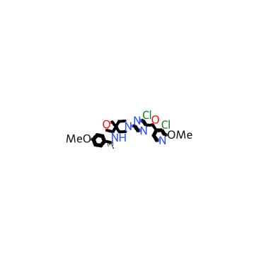 COc1ccc([C@@H](C)NC2COCC23CCN(c2cnc(C(=O)c4ccnc(OC)c4Cl)c(Cl)n2)CC3)cc1